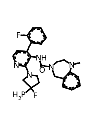 CN1CCN(C(=O)Nc2c(-c3ccccc3F)ccnc2N2CCC(F)(P)C2)Cc2ccccc21